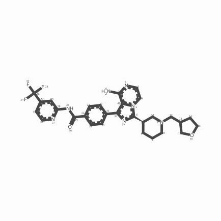 Nc1nccn2c([C@@H]3CCCN(CC4CCOC4)C3)nc(-c3ccc(C(=O)Nc4cc(C(F)(F)F)ccn4)cc3)c12